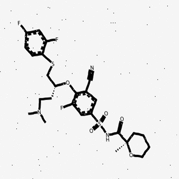 CN(C)CC[C@H](CSc1ccc(F)cc1F)Oc1c(F)cc(S(=O)(=O)NC(=O)[C@@]2(C)CCCCO2)cc1C#N